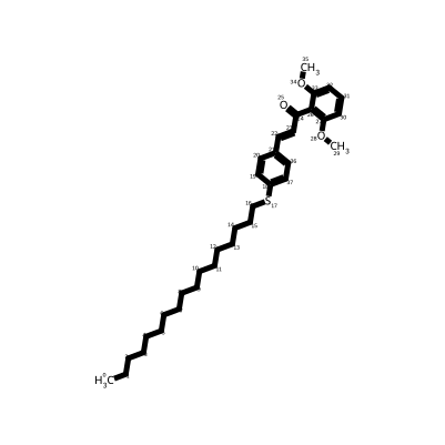 CCCCCCCCCCCCCCCCCSc1ccc(/C=C/C(=O)c2c(OC)cccc2OC)cc1